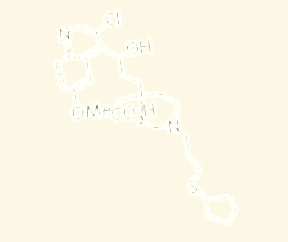 COc1ccc2ncc(Cl)c(C(O)CCC3(CC(=O)O)CCN(CCCSC4CCCC4)CC3)c2c1